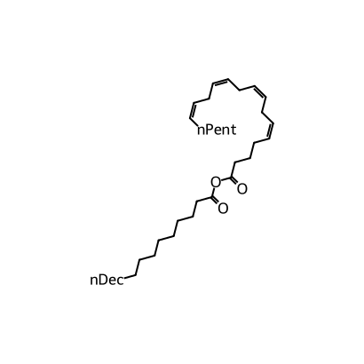 CCCCC/C=C\C/C=C\C/C=C\C/C=C\CCCC(=O)OC(=O)CCCCCCCCCCCCCCCCCC